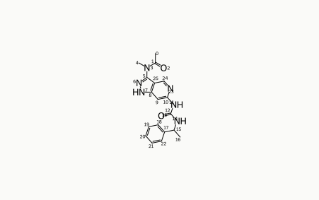 CC(=O)N(C)c1n[nH]c2cc(NC(=O)NC(C)c3ccccc3)ncc12